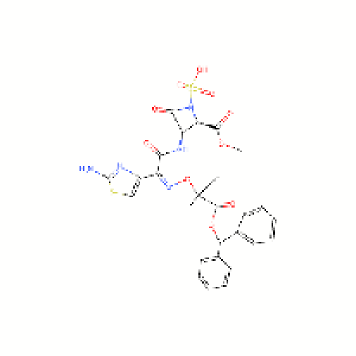 COC(=O)[C@H]1[C@@H](NC(=O)C(=NOC(C)(C)C(=O)OC(c2ccccc2)c2ccccc2)c2csc(N)n2)C(=O)N1S(=O)(=O)O